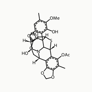 COc1c(C)cc2c(c1O)[C@@H]1C3[C@@H]4SC[C@@H](OC(C)=O)C(=O)OC[C@@H](c5c6c(c(C)c(OC(C)=O)c54)OCO6)N3[C@@H](O)[C@H](C2)N1C